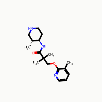 Cc1cccnc1OCC(C)(C)C(=O)N[C@@H]1CCNC[C@H]1C